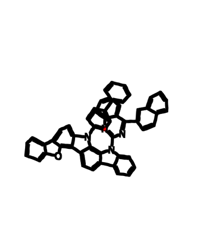 c1ccc(-c2ccc(-n3c4ccc5c6ccccc6oc5c4c4ccc5c6ccccc6n(-c6nc(-c7ccc8ccccc8c7)c7ccccc7n6)c5c43)cc2)cc1